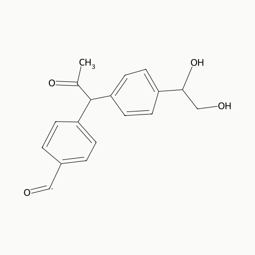 CC(=O)C(c1ccc([C]=O)cc1)c1ccc(C(O)CO)cc1